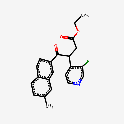 CCOC(=O)CC(C(=O)c1ccc2ccc(C)cc2c1)c1ccncc1F